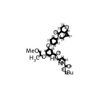 COC[C@H](C)Oc1cc(Oc2ccc(N(CC3CC3)C(=O)C3CCOCC3)cc2)cc(C(=O)Nc2ccn(C(=O)OC(C)(C)C)n2)c1